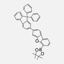 CC1(C)OB(c2cccc3c2oc2cc(-c4ccc5c(c4)C(c4ccccc4)(c4ccccc4)c4ccccc4-5)ccc23)OC1(C)C